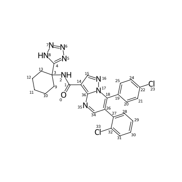 O=C(NC1(c2nnn[nH]2)CCCCC1)c1cnn2c(-c3ccc(Cl)cc3)c(-c3ccccc3Cl)cnc12